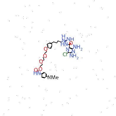 CNc1ccc(NC(=O)OCCOCCOCCOc2ccc(CCCCNC(=N)NC(=O)c3nc(Cl)c(N)nc3N)cc2)cc1